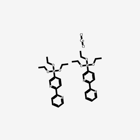 CCO[Si](OCC)(OCC)c1ccc(-c2ccccn2)nc1.CCO[Si](OCC)(OCC)c1ccc(-c2ccccn2)nc1.[Cl][Co][Cl]